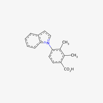 Cc1c(C(=O)O)ccc(-n2ccc3ccccc32)c1C